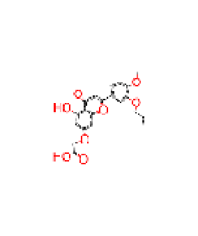 CCCOc1cc(-c2cc(=O)c3c(O)cc(OCC(=O)O)cc3o2)ccc1OC